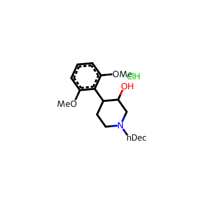 CCCCCCCCCCN1CCC(c2c(OC)cccc2OC)C(O)C1.Cl